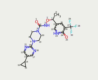 CC(ONC(=O)N1CCN(c2ncc(C3CC3)cn2)CC1)c1c[nH]c(=O)c(C(F)(F)F)c1